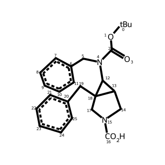 CC(C)(C)OC(=O)N(Cc1ccccc1)C1C2CN(C(=O)O)CC21Cc1ccccc1